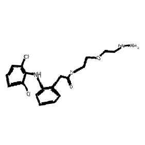 O=C(Cc1ccccc1Nc1c(Cl)cccc1Cl)OCCOCC[NH][AlH2]